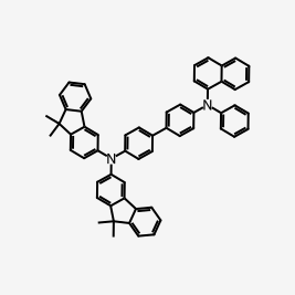 CC1(C)c2ccccc2-c2cc(N(c3ccc(-c4ccc(N(c5ccccc5)c5cccc6ccccc56)cc4)cc3)c3ccc4c(c3)-c3ccccc3C4(C)C)ccc21